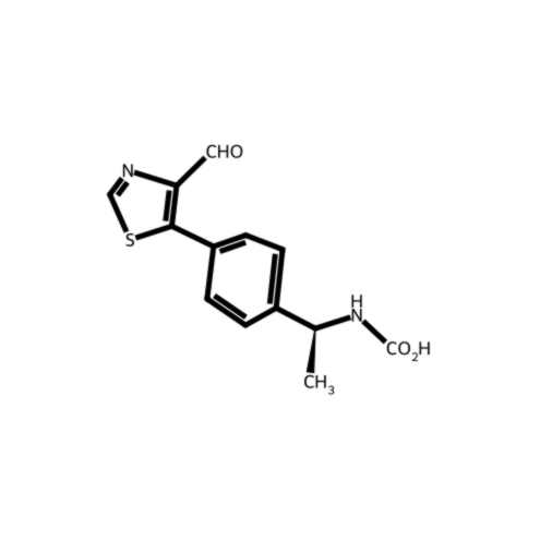 C[C@H](NC(=O)O)c1ccc(-c2scnc2C=O)cc1